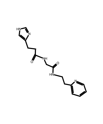 O=C([CH]Cc1c[nH]cn1)NCC(=O)NCCc1ccccn1